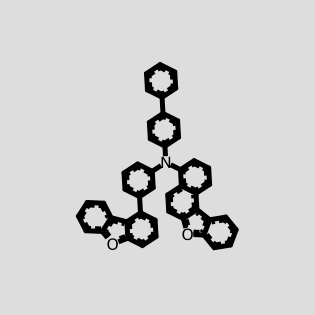 c1ccc(-c2ccc(N(c3cccc(-c4cccc5oc6ccccc6c45)c3)c3cccc4c3ccc3oc5ccccc5c34)cc2)cc1